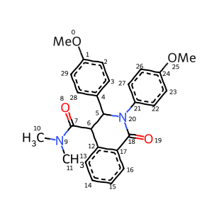 COc1ccc(C2C(C(=O)N(C)C)c3ccccc3C(=O)N2c2ccc(OC)cc2)cc1